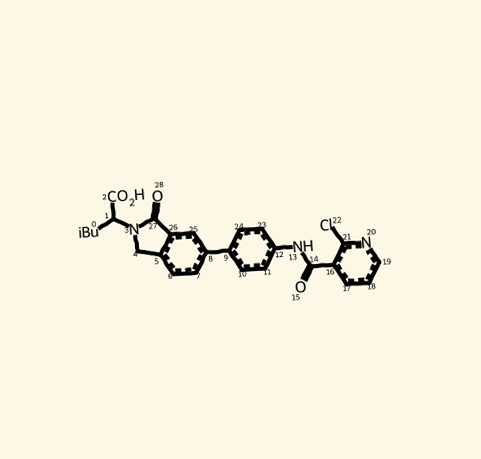 CCC(C)C(C(=O)O)N1Cc2ccc(-c3ccc(NC(=O)c4cccnc4Cl)cc3)cc2C1=O